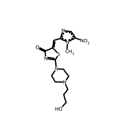 Cn1c([N+](=O)[O-])cnc1/C=C1\SC(N2CCN(CCCO)CC2)=NC1=O